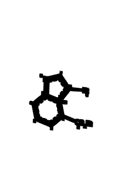 CCOC(=O)c1cccc2ncc(CC)n12